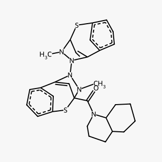 CN1C2C=C(c3cccc(c3)S2)N1N1C2=CC(C(=O)N3CCCC4CCCCC43)(Sc3cccc2c3)N1C